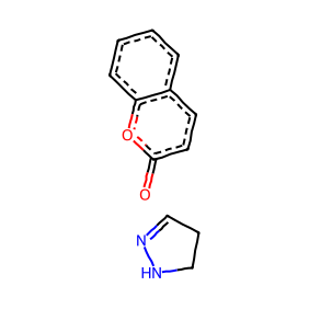 C1=NNCC1.O=c1ccc2ccccc2o1